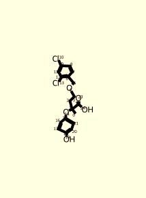 CC(CCOCc1ccc(Cl)cc1Cl)(Oc1ccc(O)cc1)C(=O)O